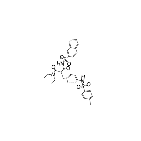 CCN(CC)C(=O)C(Cc1ccc(NS(=O)(=O)c2ccc(C)cc2)cc1)C(=O)NS(=O)(=O)c1ccc2ccccc2c1